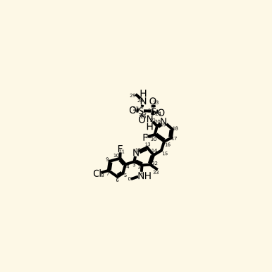 CNc1c(-c2ccc(Cl)cc2F)ncc(Cc2ccnc(NS(=O)(=O)S(=O)(=O)NC)c2F)c1C